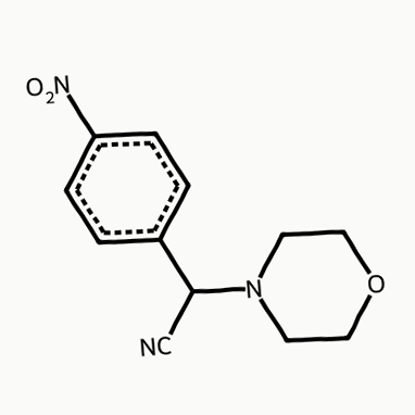 N#CC(c1ccc([N+](=O)[O-])cc1)N1CCOCC1